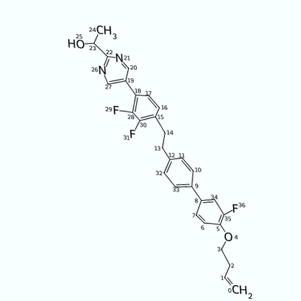 C=CCCOc1ccc(-c2ccc(CCc3ccc(-c4cnc(C(C)O)nc4)c(F)c3F)cc2)cc1F